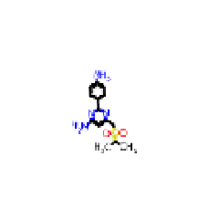 CC(C)S(=O)(=O)Cc1cc(N)nc(-c2ccc(N)cc2)n1